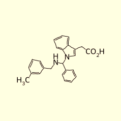 Cc1cccc(CNC(c2ccccc2)n2cc(CC(=O)O)c3ccccc32)c1